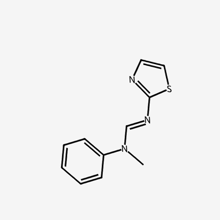 CN(C=Nc1nccs1)c1ccccc1